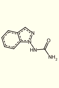 NC(=O)Nn1ncc2ccccc21